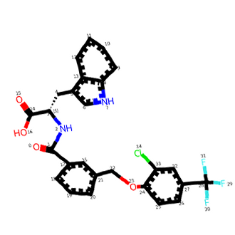 O=C(N[C@@H](Cc1c[nH]c2ccccc12)C(=O)O)c1cccc(COc2ccc(C(F)(F)F)cc2Cl)c1